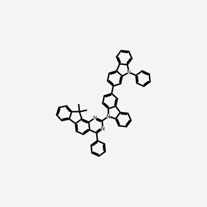 CC1(C)c2ccccc2-c2ccc3c(-c4ccccc4)nc(-n4c5ccccc5c5cc(-c6ccc7c8ccccc8n(-c8ccccc8)c7c6)ccc54)nc3c21